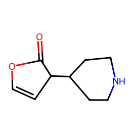 O=C1OC=CC1C1CCNCC1